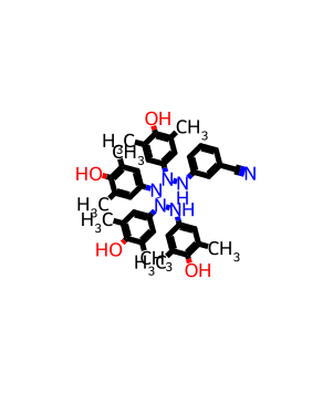 Cc1cc(NN(c2cc(C)c(O)c(C)c2)N(c2cc(C)c(O)c(C)c2)N(Nc2cccc(C#N)c2)c2cc(C)c(O)c(C)c2)cc(C)c1O